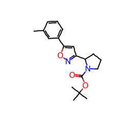 Cc1cccc(-c2cc(C3CCCN3C(=O)OC(C)(C)C)no2)c1